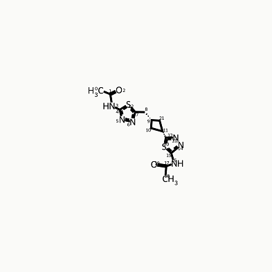 CC(=O)Nc1nnc(C[C@H]2C[C@@H](c3nnc(NC(C)=O)s3)C2)s1